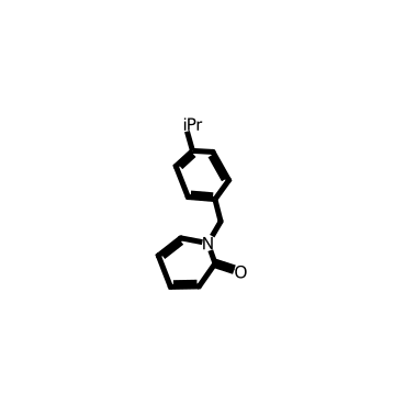 CC(C)c1ccc(Cn2ccccc2=O)cc1